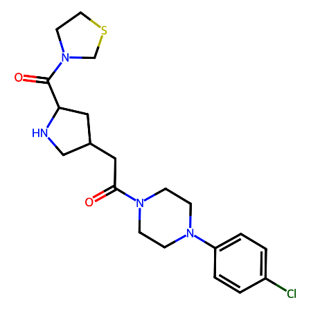 O=C(CC1CNC(C(=O)N2CCSC2)C1)N1CCN(c2ccc(Cl)cc2)CC1